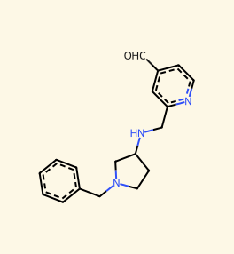 O=Cc1ccnc(CNC2CCN(Cc3ccccc3)C2)c1